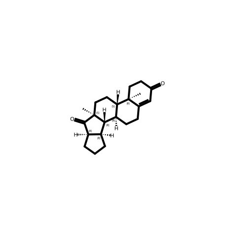 C[C@]12CCC(=O)C=C1CC[C@H]1[C@@H]3[C@H]4CCC[C@H]4C(=O)[C@@]3(C)CC[C@@H]12